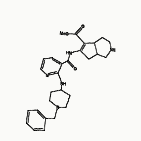 COC(=O)C1=C(NC(=O)c2cccnc2NC2CCN(Cc3ccccc3)CC2)CC2CNCCC12